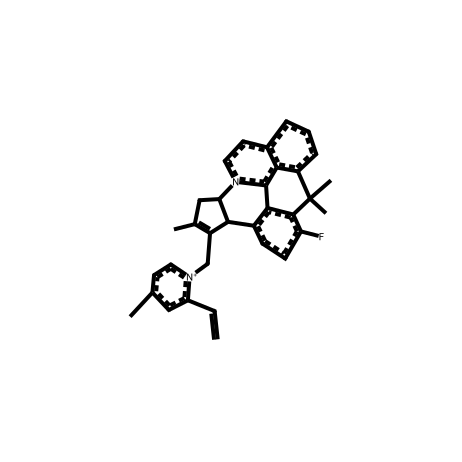 C=Cc1cc(C)cc[n+]1CC1=C(C)CC2C1c1ccc(F)c3c1-c1c4c(cccc4cc[n+]12)C3(C)C